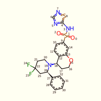 O=S(=O)(Nc1ncns1)c1ccc2c(c1)OCC[C@H]2N1CCC(F)(F)C[C@@H]1c1ccccc1